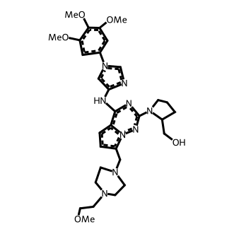 COCCN1CCN(Cc2ccc3c(Nc4cn(-c5cc(OC)c(OC)c(OC)c5)cn4)nc(N4CCCC4CO)nn23)CC1